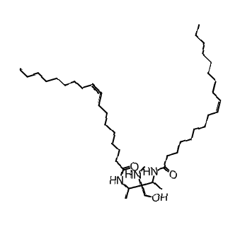 CCCCCCCC/C=C\CCCCCCCC(=O)NC(C)C(CO)(NC)C(C)NC(=O)CCCCCCC/C=C\CCCCCCCC